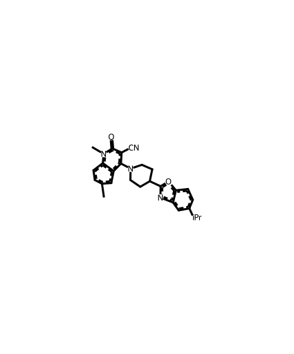 Cc1ccc2c(c1)c(N1CCC(c3nc4cc(C(C)C)ccc4o3)CC1)c(C#N)c(=O)n2C